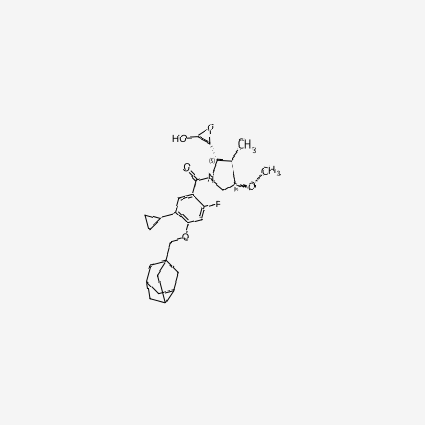 CO[C@H]1CN(C(=O)c2cc(C3CC3)c(OCC34CC5CC(C3)C(C5)C4)cc2F)[C@H](C2OC2O)C1C